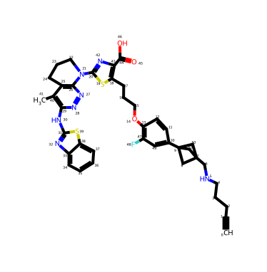 C#CCCCNCC12CC(c3ccc(OCCCc4sc(N5CCCc6c5nnc(Nc5nc7ccccc7s5)c6C)nc4C(=O)O)c(F)c3)(C1)C2